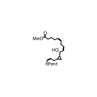 CCCCC/C=C\CC1CC1[C@H](O)/C=C\C/C=C\CCCC(=O)OC